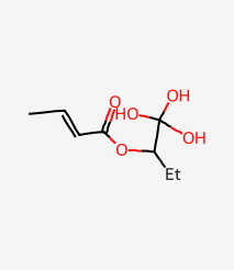 CC=CC(=O)OC(CC)C(O)(O)O